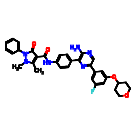 Cc1c(C(=O)Nc2ccc(-c3nc(-c4cc(F)cc(OC5CCOCC5)c4)cnc3N)cc2)c(=O)n(-c2ccccc2)n1C